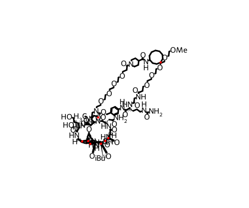 CC[C@H](C)[C@@H]1NC(=O)CNC(=O)[C@H]2Cc3c4[nH]c5cc(ccc35)OC(C(=O)N(C)CCN(CCOCCOCCOCCOCCC(=O)N3CCC(C(=O)NC5CCCCCCCCC5)CC3)C(=O)OCc3ccc(NC(=O)[C@H](CCCNC(N)=O)NC(=O)CNC(=O)CCOCCOCCOCCOCCOC)cc3)(C(=O)N[C@@H](C[C@@H](O)CO)C(=O)N2)[C@@H]2CCCN2C(=O)[C@H](CC(N)=O)NC(=O)[C@H](C[S+]4[O-])NC(=O)CNC1=O